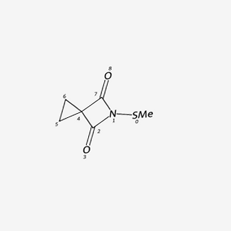 CSN1C(=O)C2(CC2)C1=O